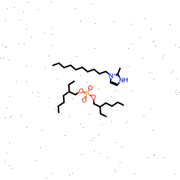 CCCCC(CC)COP(=O)([O-])OCC(CC)CCCC.CCCCCCCCCC[n+]1cc[nH]c1C